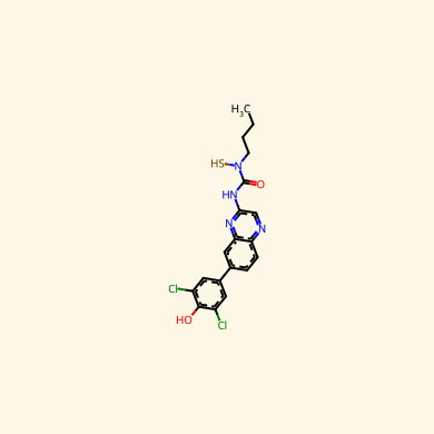 CCCCN(S)C(=O)Nc1cnc2ccc(-c3cc(Cl)c(O)c(Cl)c3)cc2n1